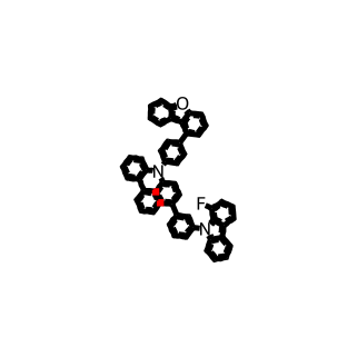 Fc1cccc2c3ccccc3n(-c3cccc(-c4ccc(N(c5ccc(-c6cccc7oc8ccccc8c67)cc5)c5ccccc5-c5ccccc5)cc4)c3)c12